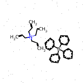 C=CC[N+](CC=C)(CC=C)CC=C.c1ccc([B-](c2ccccc2)(c2ccccc2)c2ccccc2)cc1